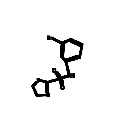 O=S(=O)(Nc1cccc(Br)c1)C1=NCCS1